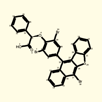 O=C(O)[C@H](Oc1c(Br)cc(-c2c3ccccc3c(Br)c3sc4ccccc4c23)cc1Br)c1ccccc1